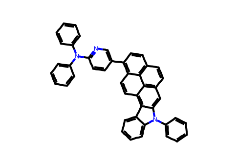 c1ccc(N(c2ccccc2)c2ccc(-c3ccc4ccc5cc6c(c7ccc3c4c57)c3ccccc3n6-c3ccccc3)cn2)cc1